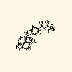 COc1ncc2cnn(C)c2c1NS(=O)(=O)c1ccc(C(=O)CC(=O)C(F)(F)F)nc1